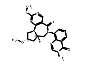 CO[C@H]1C[C@H]2CN(c3cccc4c(=O)n(C)cnc34)C(=O)c3cnc(SC)nc3N2C1